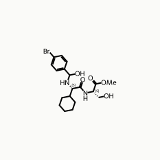 COC(=O)[C@H](CO)NC(=O)[C@@H](NC(O)c1ccc(Br)cc1)C1CCCCC1